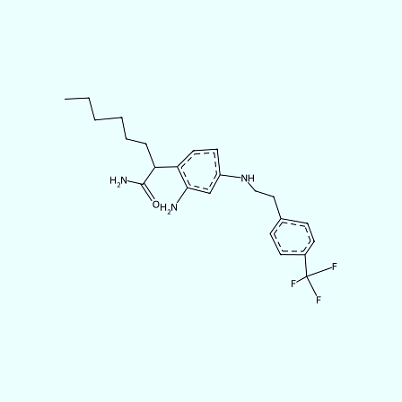 CCCCCCC(C(N)=O)c1ccc(NCCc2ccc(C(F)(F)F)cc2)cc1N